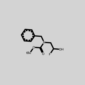 CC(C)(C)OC(=O)N(Cc1ccccc1)CC(O)F